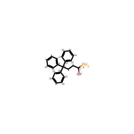 PC(Br)CCC(c1ccccc1)(c1ccccc1)c1ccccc1